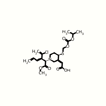 C=C/C=C(\C(=C)Cl)[C@@H](C(=O)OC)N1CC[C@@H](SCOC(=O)OC(C)C)/C(=C/C(=O)O)C1